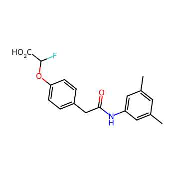 Cc1cc(C)cc(NC(=O)Cc2ccc(OC(F)C(=O)O)cc2)c1